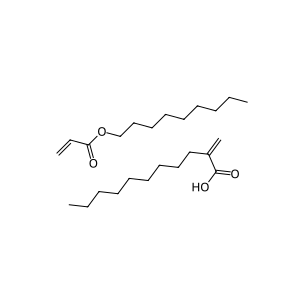 C=C(CCCCCCCCC)C(=O)O.C=CC(=O)OCCCCCCCCC